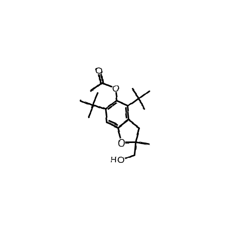 CC(=O)Oc1c(C(C)(C)C)cc2c(c1C(C)(C)C)CC(C)(CO)O2